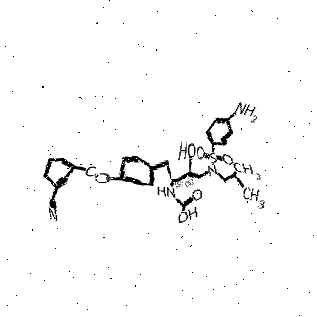 CC(C)CN(C[C@H](O)[C@H](Cc1ccc(OCc2cccc(C#N)c2)cc1)NC(=O)O)S(=O)(=O)c1ccc(N)cc1